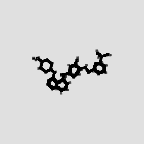 CN1CCC(Oc2cccc3ncnc(Nc4ccc(OCc5cccc([N+](=O)[O-])c5)c(Cl)c4)c23)CC1